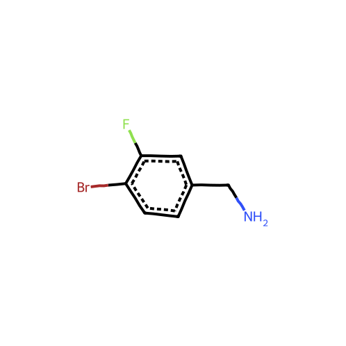 NCc1ccc(Br)c(F)c1